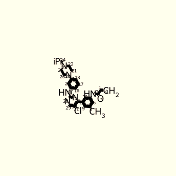 C=CC(=O)Nc1cc(C)cc(-c2nc(Nc3cccc(N4CCN(C(C)C)CC4)c3)ncc2Cl)c1